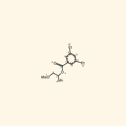 CCCC(COC)OC(=O)c1cc(CC)cc(CC)c1